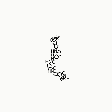 Cc1ccc(NC(=O)Nc2ccc(C)c(C(=O)Nc3ccc4cc(S(=O)(=O)O)c(O)cc4c3)c2)cc1C(=O)Nc1ccc2cc(S(=O)(=O)O)c(O)cc2c1